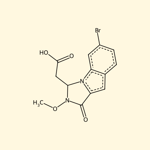 CON1C(=O)c2cc3ccc(Br)cc3n2C1CC(=O)O